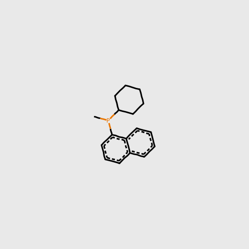 CP(c1cccc2ccccc12)C1CCCCC1